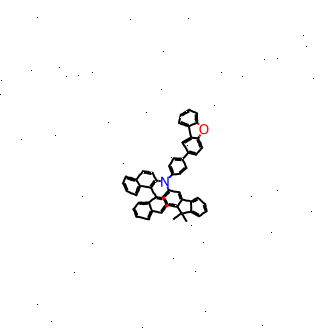 CC1(C)c2ccccc2-c2cc(N(c3ccc(-c4ccc5oc6ccccc6c5c4)cc3)c3ccc4ccccc4c3-c3cccc4ccccc34)ccc21